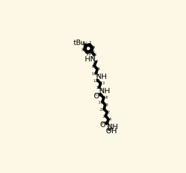 CC(C)(C)c1ccc(CNCCCCNCCCNC(=O)CCCCCCCC(=O)NO)cc1